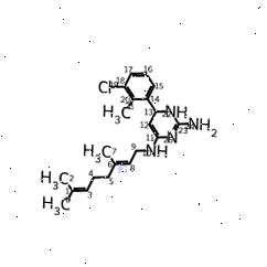 CC(C)=CCC/C(C)=C/CNC1=CC(c2cccc(Cl)c2C)NC(N)=N1